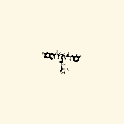 CN(C(=O)NCc1cccc(F)c1Cl)[C@](C)(CCC(=O)NC[C@@H](N)CO)OC(=O)Nc1cc2cc(F)ccc2cn1